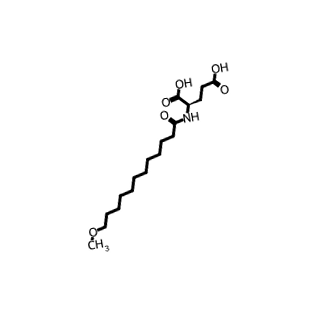 COCCCCCCCCCCCC(=O)N[C@H](CCC(=O)O)C(=O)O